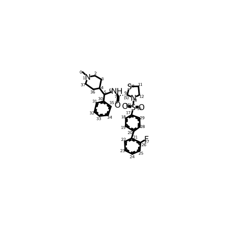 CN1CCC(C(NC(=O)[C@@H]2SCCN2S(=O)(=O)c2ccc(-c3ccccc3F)cc2)c2ccccc2)CC1